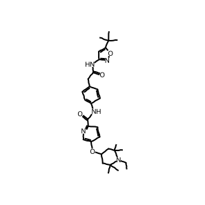 CCN1C(C)(C)CC(Oc2ccc(C(=O)Nc3ccc(CC(=O)Nc4cc(C(C)(C)C)on4)cc3)nc2)CC1(C)C